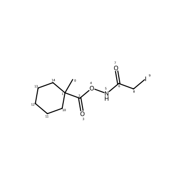 CC1(C(=O)ONC(=O)CI)CCCCC1